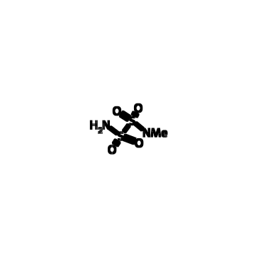 CNS(=O)(=O)S(N)(=O)=O